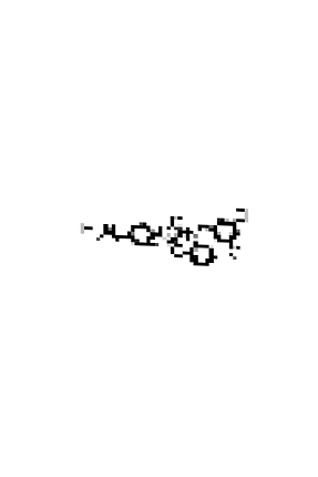 CCC1(Oc2ccc(CN)cc2)Oc2ccccc2N(Cc2cc(Cl)cc(Cl)c2)C1=O